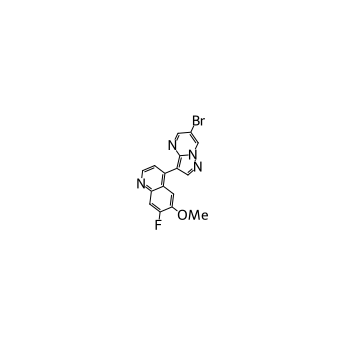 COc1cc2c(-c3cnn4cc(Br)cnc34)ccnc2cc1F